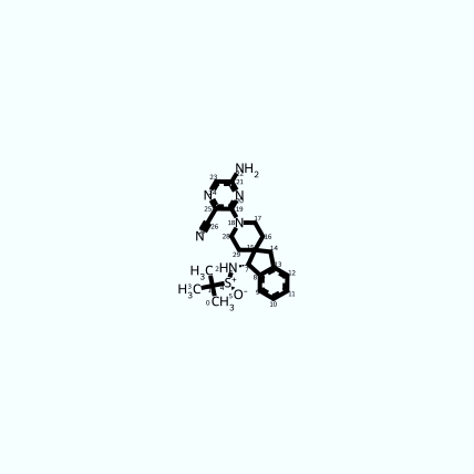 CC(C)(C)[S@+]([O-])N[C@H]1c2ccccc2CC12CCN(c1nc(N)cnc1C#N)CC2